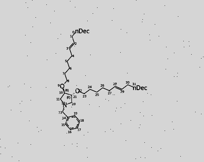 CCCCCCCCCCCC=CCCCCCO[C@@H]1CN(Cc2ccccc2)C[C@H]1OCCCCCC=CCCCCCCCCCCC